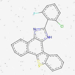 Fc1cccc(Cl)c1-c1nc2c3ccccc3c3sc4ccccc4c3c2[nH]1